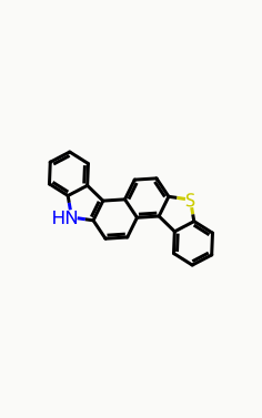 c1ccc2c(c1)[nH]c1ccc3c(ccc4sc5ccccc5c43)c12